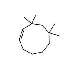 CC1(C)/C=C\CCCCC(C)(C)C1